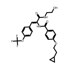 O=C(NCCO)C(=Cc1ccc(OC(F)(F)F)cc1)NC(=O)c1ccc(OCCC2CC2)cc1